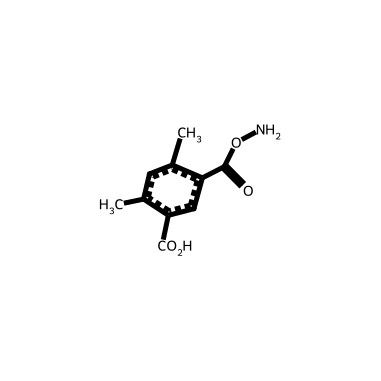 Cc1cc(C)c(C(=O)ON)cc1C(=O)O